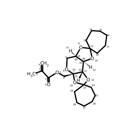 C=C(C)C(=O)OC[C@@]12OC[C@H]3OC4(CCCCCC4)O[C@H]3[C@@H]1OC1(CCCCCC1)O2